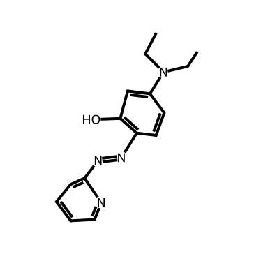 CCN(CC)c1ccc(N=Nc2ccccn2)c(O)c1